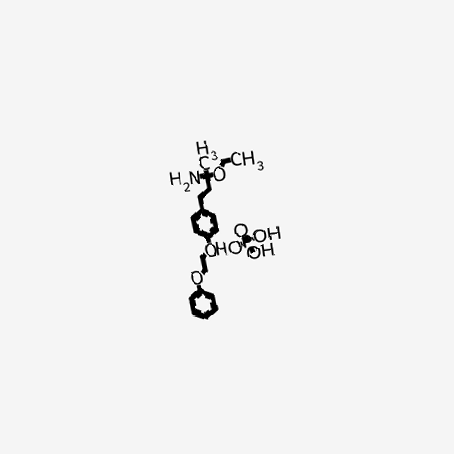 CCOC(C)(N)CCc1ccc(OCCOc2ccccc2)cc1.O=P(O)(O)O